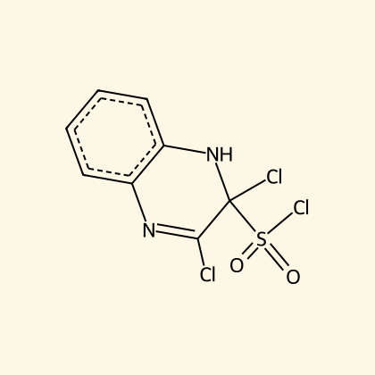 O=S(=O)(Cl)C1(Cl)Nc2ccccc2N=C1Cl